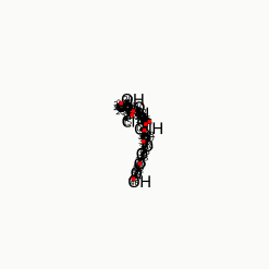 O=C(Nc1ccc2nc(C(=O)N3C[C@@H](CCl)c4c3cc(O)c3ccccc43)cn2c1)c1ccc(OCCOCCOCCOCCO)cc1